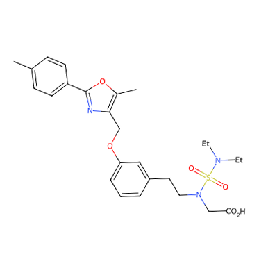 CCN(CC)S(=O)(=O)N(CCc1cccc(OCc2nc(-c3ccc(C)cc3)oc2C)c1)CC(=O)O